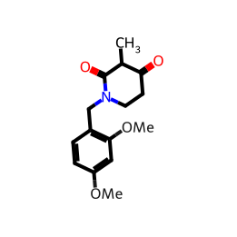 COc1ccc(CN2CCC(=O)C(C)C2=O)c(OC)c1